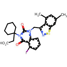 Cc1cc(C)c2c(Cn3c(=O)n(C4(CC(=O)O)CCCCC4)c(=O)c4c(I)cccc43)nsc2c1